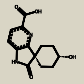 O=C(O)c1ccc2c(n1)[C@]1(CC[C@@H](O)CC1)C(=O)N2